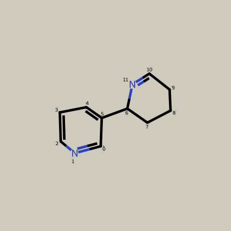 [c]1ncccc1C1CCCC=N1